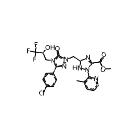 COC(=O)C1=NC(Cn2nc(-c3ccc(Cl)cc3)n(C[C@H](O)C(F)(F)F)c2=O)NN1c1ncccc1C